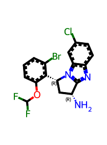 N[C@@H]1C[C@H](c2c(Br)cccc2OC(F)F)n2c1nc1ccc(Cl)cc12